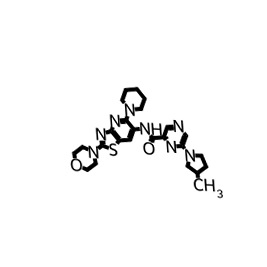 CC1CCN(c2cncc(C(=O)Nc3cc4sc(N5CCOCC5)nc4nc3N3CCCCC3)n2)C1